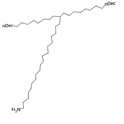 CCCCCCCCCCCCCCCCCCC(CCCCCCCCCCCCCCCCCC)CCCCCCCCCCCCCCCCCCCN